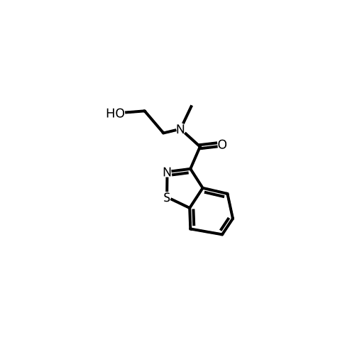 CN(CCO)C(=O)c1nsc2ccccc12